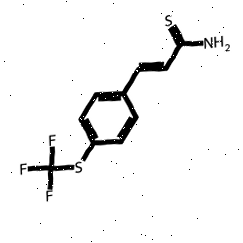 NC(=S)C=Cc1ccc(SC(F)(F)F)cc1